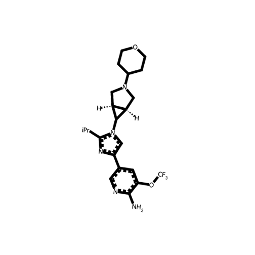 CC(C)c1nc(-c2cnc(N)c(OC(F)(F)F)c2)cn1C1[C@H]2CN(C3CCOCC3)C[C@@H]12